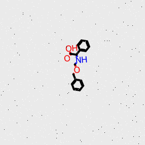 O=C(O)C(NCOCc1ccccc1)c1ccccc1